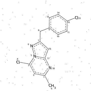 Cc1cc(Cl)n2nc(Cc3ccc(Cl)cc3)cc2n1